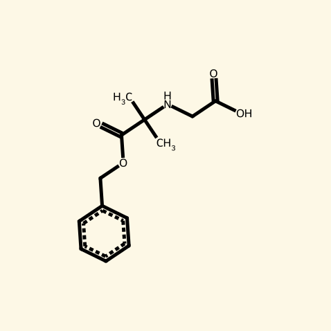 CC(C)(NCC(=O)O)C(=O)OCc1ccccc1